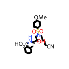 COc1ccc(S(=O)(=O)N(CCCCC#N)C[C@@H](O)[C@H](Cc2ccccc2)NC(=O)O)cc1